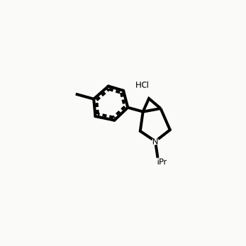 Cc1ccc(C23CC2CN(C(C)C)C3)cc1.Cl